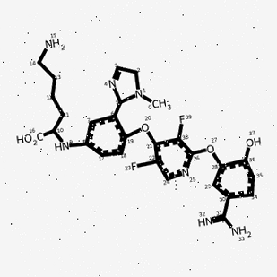 CN1CC=NC1c1cc(NC(CCCCN)C(=O)O)ccc1Oc1c(F)cnc(Oc2cc(C(=N)N)ccc2O)c1F